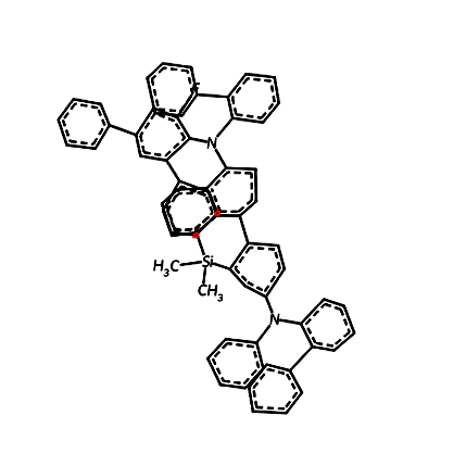 C[Si]1(C)c2cc(N(c3ccccc3)c3ccccc3-c3ccccc3)ccc2-c2ccc(N(c3ccccc3-c3ccccc3)c3c(F)cc(-c4ccccc4)cc3-c3ccccc3)c3cccc1c23